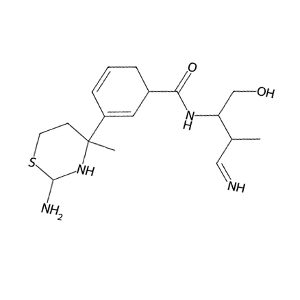 CC(C=N)C(CO)NC(=O)C1C=C(C2(C)CCSC(N)N2)C=CC1